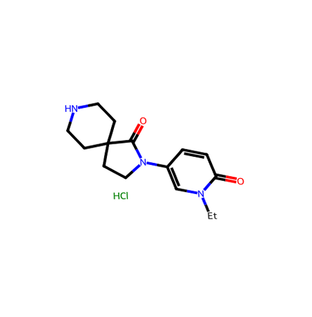 CCn1cc(N2CCC3(CCNCC3)C2=O)ccc1=O.Cl